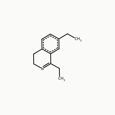 CCC1=NCCc2ccc(CC)cc21